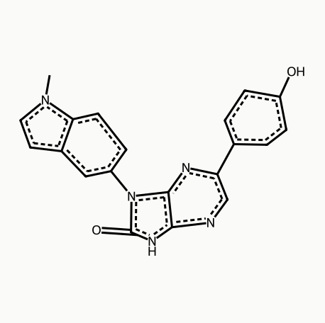 Cn1ccc2cc(-n3c(=O)[nH]c4ncc(-c5ccc(O)cc5)nc43)ccc21